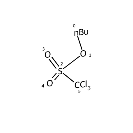 CCCCOS(=O)(=O)C(Cl)(Cl)Cl